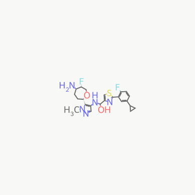 Cn1ncc(NC(O)c2csc(-c3cc(C4CC4)ccc3F)n2)c1[C@@H]1CC[C@@H](N)[C@H](F)CO1